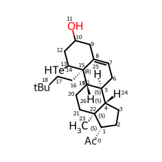 CC(=O)[C@H]1CC[C@H]2[C@@H]3CC=C4CC(O)CC([TeH])[C@]4(CCC(C)(C)C)[C@H]3CC[C@]12C